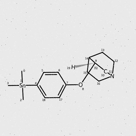 [CH3][Sn]([CH3])([CH3])[c]1ccc(O[C@@H]2CN3CCC2CC3)cc1